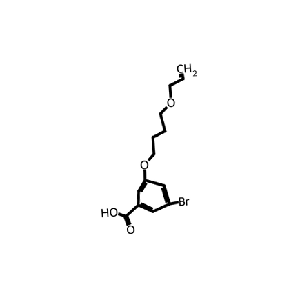 C=CCOCCCCOc1cc(Br)cc(C(=O)O)c1